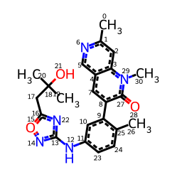 Cc1cc2c(cn1)cc(-c1cc(Nc3noc(CC(C)(C)O)n3)ccc1C)c(=O)n2C